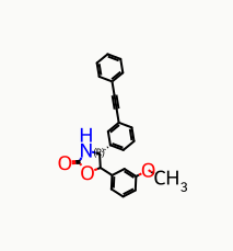 COc1cccc(C2OC(=O)N[C@@H]2c2cccc(C#Cc3ccccc3)c2)c1